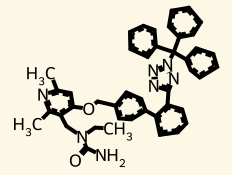 CCN(Cc1c(OCc2ccc(-c3ccccc3-c3nnn(C(c4ccccc4)(c4ccccc4)c4ccccc4)n3)cc2)cc(C)nc1C)C(N)=O